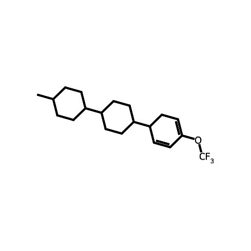 CC1CCC(C2CCC(C3C=CC(OC(F)(F)F)=CC3)CC2)CC1